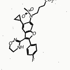 CS(=O)(=O)N(CCCC(=O)O)c1cc2oc(-c3ccc(F)cc3)c(C3=NOCCN3)c2cc1C1CC1